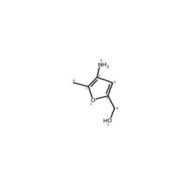 Cc1oc(CO)cc1N